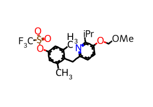 COCOc1ccc(Cc2c(C)cc(OS(=O)(=O)C(F)(F)F)cc2C)nc1C(C)C